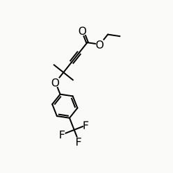 CCOC(=O)C#CC(C)(C)Oc1ccc(C(F)(F)F)cc1